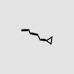 C=CC=CC=C1CC1